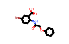 O=C(COc1ccccc1)Nc1ccc(Br)cc1C(=O)O